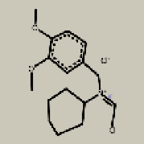 COc1ccc(C/[N+](=C/Cl)C2CCCCC2)cc1OC.[Cl-]